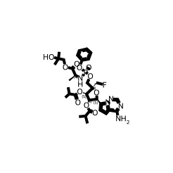 CC(C)C(=O)O[C@H]1[C@H](c2ccc3c(N)ncnn23)O[C@](CF)(COP(=O)(N[C@@H](C)C(=O)OCC(C)(C)O)Oc2ccccc2)[C@H]1OC(=O)C(C)C